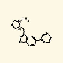 CN1CCC[C@@H]1Cc1c[nH]c2ccc(-c3cccnc3)cc12